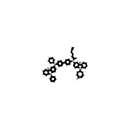 C#CCC/C=C(\C)N(C1=CC=C2[C@@H](C1)C1=C(CCC=C1)N2C1CC#CC(F)=CC1)c1ccc(-c2ccc(N(c3ccc4c(c3)[C@@H]3C=CC=CC3N4c3ccccc3)C3CC=CCC3)cc2)cc1